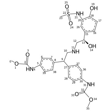 COC(=O)Nc1ccc(C(CNC[C@H](O)c2ccc(O)c(NS(C)(=O)=O)c2)c2ccc(NC(=O)OC)cc2)cc1